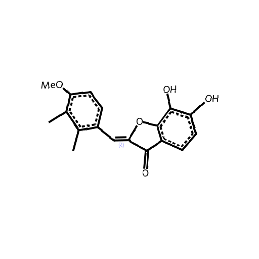 COc1ccc(/C=C2\Oc3c(ccc(O)c3O)C2=O)c(C)c1C